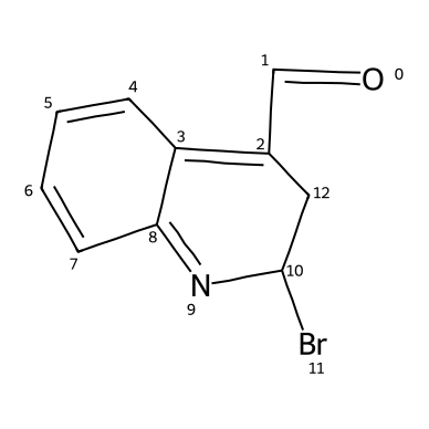 O=CC1=c2ccccc2=NC(Br)C1